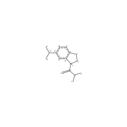 CC(C)C(=O)N1CCc2ccc(C(C)C)cc21